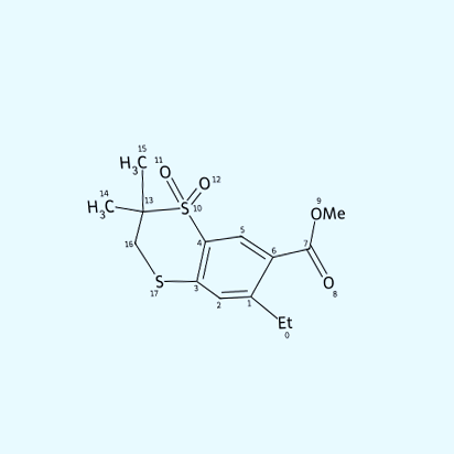 CCc1cc2c(cc1C(=O)OC)S(=O)(=O)C(C)(C)CS2